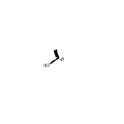 C=CO.[O]